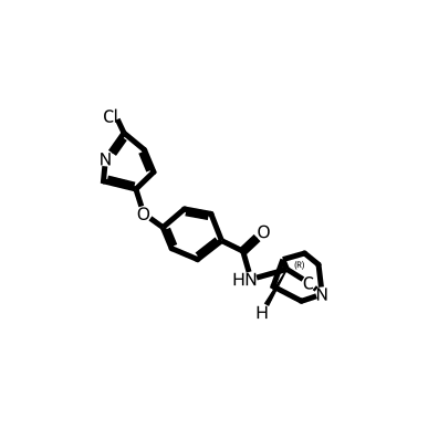 O=C(N[C@H]1CN2CCC1CC2)c1ccc(Oc2ccc(Cl)nc2)cc1